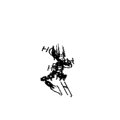 C[C@@H](CN1CC[SH](=N)(O)CC1)Nc1ccc(S(=O)(=O)NC(=O)c2ccc(N3CCN(CC4=C(c5ccc(Cl)cc5)CC(C)(C)CC4)CC3)cc2Oc2cnc3[nH]ccc3c2)cc1[N+](=O)[O-]